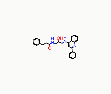 O=C(CCc1ccccc1)NCC(O)CNc1cc(-c2ccccc2)nc2ccccc12